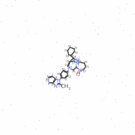 Cc1nc2cnccc2n1-c1ccc(N2C=C3C[N+]4(CCCC[N+](=O)C4C2)N=C3C2CCCCC2)cc1